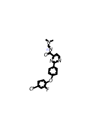 CN(C)/C=N/C(=O)c1ccnc(-c2ccc(Oc3ccc(Cl)cc3F)cc2)n1